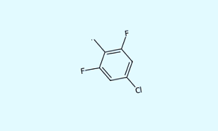 [CH2]c1c(F)cc(Cl)cc1F